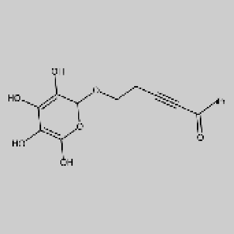 CC(C)C(=O)C#CCCOC1OC(O)=C(O)C(O)=C1O